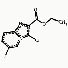 CCOC(=O)c1nc2ccc(I)cn2c1Cl